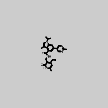 CCc1cc(C)[nH]c(=O)c1CNC(=O)c1cc(-c2cnc(C)nc2)cc2c1c(C)cn2C(C)C